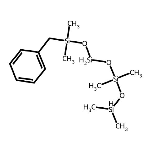 C[SiH](C)O[Si](C)(C)O[SiH2]O[Si](C)(C)Cc1ccccc1